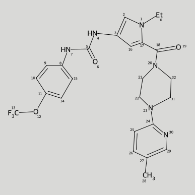 CCn1cc(NC(=O)Nc2ccc(OC(F)(F)F)cc2)cc1C(=O)N1CCN(c2ccc(C)cn2)CC1